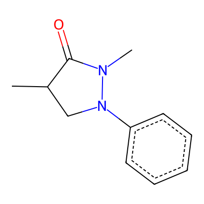 CC1CN(c2ccccc2)N(C)C1=O